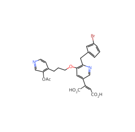 CC(=O)Oc1cnccc1CCCOc1cc(/C(=C/C(=O)O)C(=O)O)cnc1Cc1cccc(Br)c1